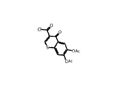 CC(=O)Oc1cc2scc(C(=O)Cl)c(=O)c2cc1OC(C)=O